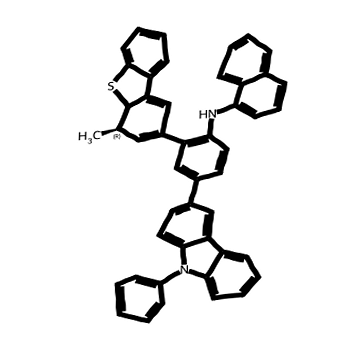 C[C@@H]1C=C(c2cc(-c3ccc4c(c3)c3ccccc3n4-c3ccccc3)ccc2Nc2cccc3ccccc23)C=C2c3ccccc3SC21